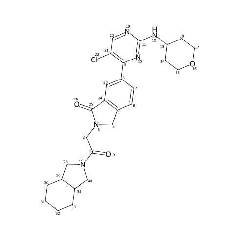 O=C(CN1Cc2ccc(-c3nc(NC4CCOCC4)ncc3Cl)cc2C1=O)N1CC2CCCCC2C1